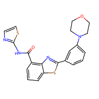 O=C(Nc1nccs1)c1cccc2sc(-c3cccc(N4CCOCC4)c3)nc12